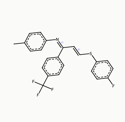 Cc1ccc(/N=C(/C=C/Sc2ccc(F)cc2)c2ccc(C(F)(F)F)cc2)cc1